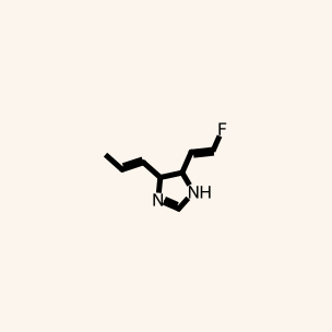 C/C=C/C1N=CNC1/C=C/F